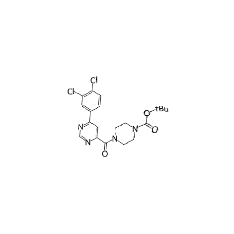 CC(C)(C)OC(=O)N1CCN(C(=O)c2cc(-c3ccc(Cl)c(Cl)c3)ncn2)CC1